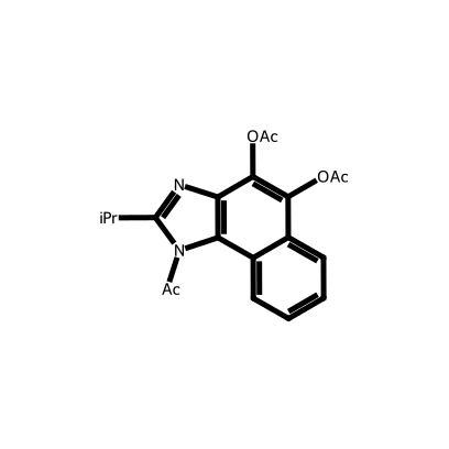 CC(=O)Oc1c(OC(C)=O)c2nc(C(C)C)n(C(C)=O)c2c2ccccc12